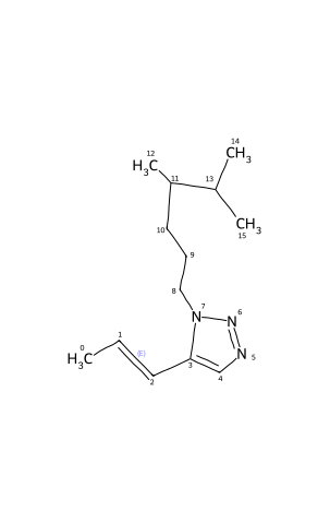 C/C=C/c1cnnn1CCCC(C)C(C)C